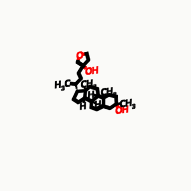 CC(CCC1(O)CCOC1)[C@H]1CC[C@H]2[C@@H]3CC=C4C[C@@](C)(O)CC[C@]4(C)[C@H]3CC[C@]12C